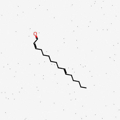 CCCCC/C=C/CCCCCC/C=C\C=O